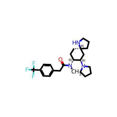 CN(C(=O)Cc1ccc(C(F)(F)F)cc1)[C@@H]1CC[C@]2(CCCN2)C[C@H]1N1CCCC1